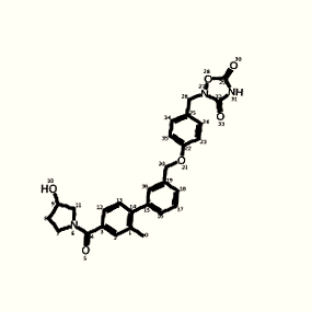 Cc1cc(C(=O)N2CCC(O)C2)ccc1-c1cccc(COc2ccc(Cn3oc(=O)[nH]c3=O)cc2)c1